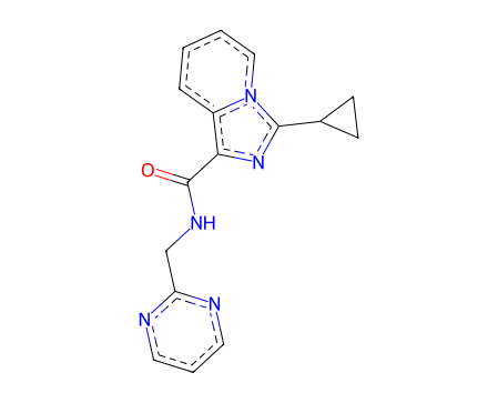 O=C(NCc1ncccn1)c1nc(C2CC2)n2ccccc12